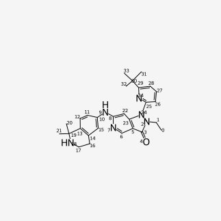 CCn1c(=O)c2cnc(Nc3ccc4c(c3)CCNC4(C)C)cc2n1-c1cccc(C(C)(C)C)n1